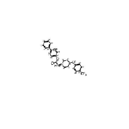 O=C(NN1CCC(Oc2ccc(C(F)(F)F)cc2)CC1)Oc1cnc(-c2ccccc2)nc1